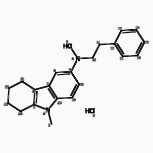 Cl.Cn1c2c(c3cc(N(O)CCc4ccccc4)ccc31)CCCC2